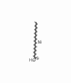 CCCCCCCCCCCCCCCCCCCC(O)=S.[Ni]